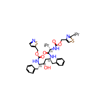 CC(C)c1nc(COC(=O)N[C@H](C(=O)N[C@@H](Cc2ccccc2)C[C@H](O)[C@H](Cc2ccccc2)NC(=O)OCc2ccns2)C(C)C)cs1